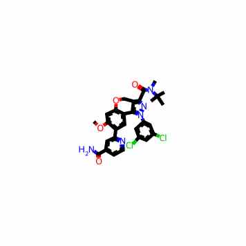 COc1cc2c(cc1-c1cc(C(N)=O)ccn1)-c1c(c(C(=O)N(C)C(C)(C)C)nn1-c1cc(Cl)cc(Cl)c1)CO2